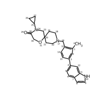 Cc1cc(-c2ccc3cc[nH]c3c2)ccc1CN1CCC2(CC1)CN(C1CC1)C(=O)CO2